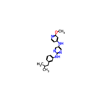 COc1cc(Nc2cnc(Nc3cccc(CC(C)C)c3)nc2)ccn1